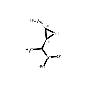 CC([C@@H]1N[C@H]1C(=O)O)[S+]([O-])C(C)(C)C